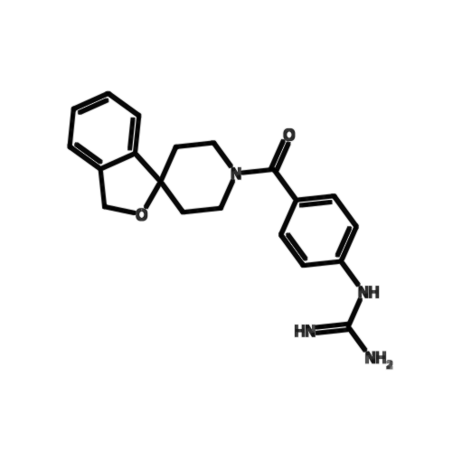 N=C(N)Nc1ccc(C(=O)N2CCC3(CC2)OCc2ccccc23)cc1